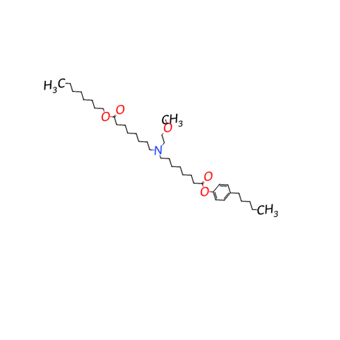 CCCCCCCCOC(=O)CCCCCCCN(CCCCCCCC(=O)Oc1ccc(CCCCC)cc1)CCOC